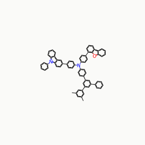 Cc1cc(C)cc(-c2cc(-c3ccccc3)cc(-c3ccc(N(c4ccc(-c5ccc6c(c5)c5ccccc5n6-c5ccccc5)cc4)c4ccc(-c5cccc6c5oc5ccccc56)cc4)cc3)c2)c1